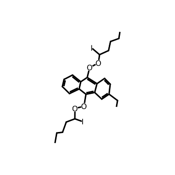 CCCCC(I)OOc1c2ccccc2c(OOC(I)CCCC)c2cc(CC)ccc12